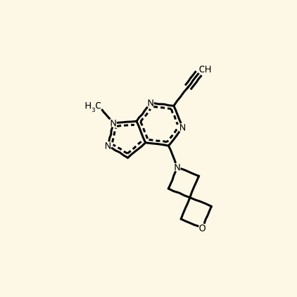 C#Cc1nc(N2CC3(COC3)C2)c2cnn(C)c2n1